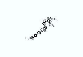 COc1cc(-c2n[nH]c3ccc(N4CC[C@]5(CCN(CC(=O)N6CC=C(c7ccc(-c8ncn(C)n8)cc7)CC6)C5)C4=O)nc23)ccc1OC(C)C